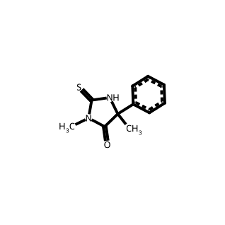 CN1C(=O)C(C)(c2ccccc2)NC1=S